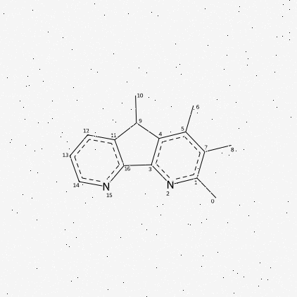 Cc1nc2c(c(C)c1C)C(C)c1cccnc1-2